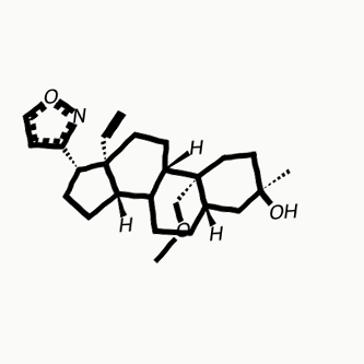 C=C[C@]12CC[C@H]3C(CC[C@H]4C[C@](C)(O)CC[C@@]43COC)[C@@H]1CC[C@@H]2c1ccon1